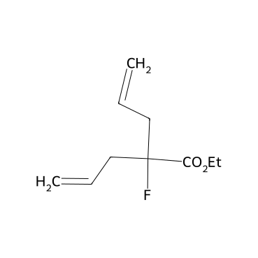 C=CCC(F)(CC=C)C(=O)OCC